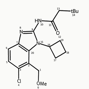 COCc1c(Cl)ccc2nc(NC(=O)CC(C)(C)C)n(C3CCC3)c12